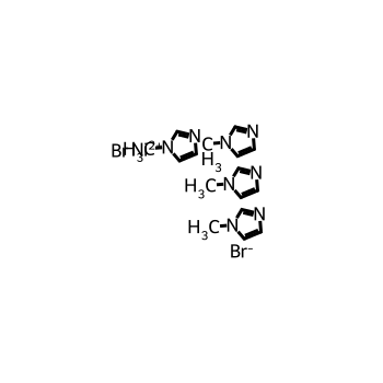 Cn1ccnc1.Cn1ccnc1.Cn1ccnc1.Cn1ccnc1.[Br-].[Br-].[Ni+2]